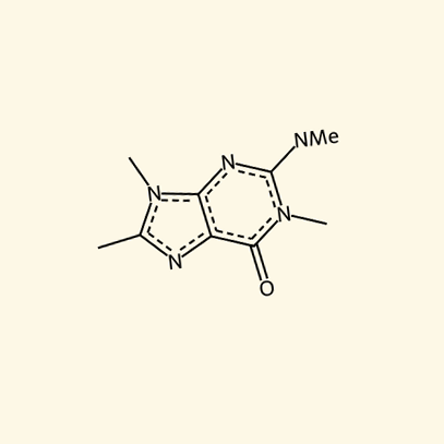 CNc1nc2c(nc(C)n2C)c(=O)n1C